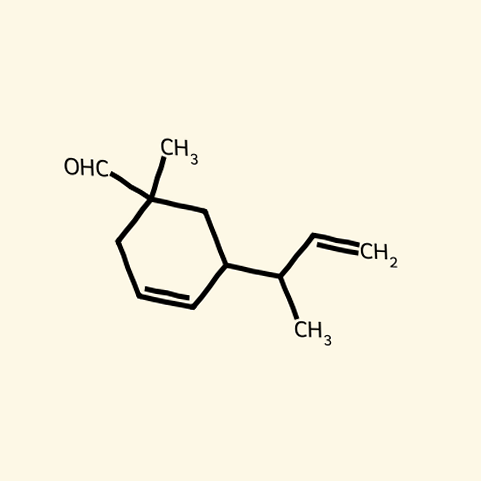 C=CC(C)C1C=CCC(C)(C=O)C1